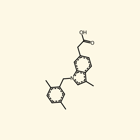 Cc1ccc(C)c(Cn2cc(C)c3ccc(CC(=O)O)cc32)c1